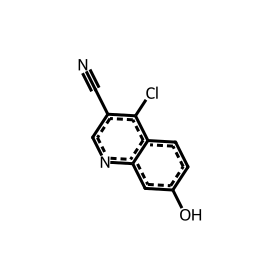 N#Cc1cnc2cc(O)ccc2c1Cl